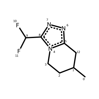 CC1CCn2c(nnc2C(F)F)C1